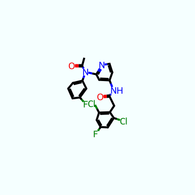 CC(=O)N(c1cccc(F)c1)c1cc(NC(=O)Cc2c(Cl)cc(F)cc2Cl)ccn1